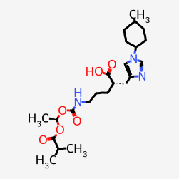 CC1CCC(n2cnc(C[C@H](CCCNC(=O)O[C@H](C)OC(=O)C(C)C)C(=O)O)c2)CC1